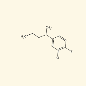 [CH2]C(CCC)c1ccc(F)c(Cl)c1